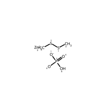 CSSC.O=P([O-])([O-])O.[Zn+2]